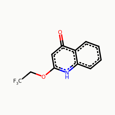 O=c1cc(OCC(F)(F)F)[nH]c2ccccc12